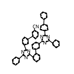 N#Cc1cccc(-c2cccc(-c3nc(-c4ccccc4)nc(-c4ccccc4-c4cccc(-c5nc(-c6ccccc6)nc(-c6ccc(-c7ccccc7)cc6)n5)c4)n3)c2)c1